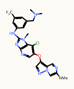 CNc1cn2ncc(Oc3cnc4nc(Nc5cc(CN(C)C)cc(C(F)(F)F)c5)n(C)c4c3Cl)c2cn1